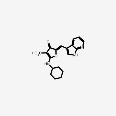 O=C(O)C1=C(NC2CCCCC2)O/C(=C\c2c[nH]c3ncccc23)C1=O